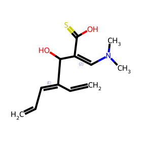 C=C/C=C(\C=C)C(O)/C(=C/N(C)C)C(O)=S